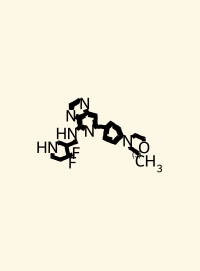 C[C@H]1CN(c2ccc(-c3cc4nccnc4c(NCC4CNCCC4(F)F)n3)cc2)CCO1